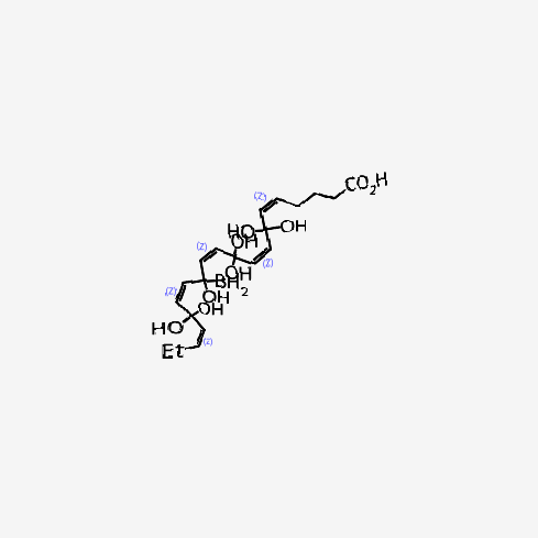 BC(O)(/C=C\C(O)(O)/C=C\CC)/C=C\C(O)(O)/C=C\C(O)(O)/C=C\CCCC(=O)O